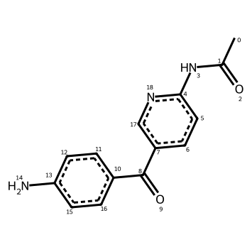 CC(=O)Nc1ccc(C(=O)c2ccc(N)cc2)cn1